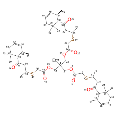 CCC(COC(=O)CSC(C)CC(=O)C1C(C)C=CCC1(C)C)(COC(=O)CSC(C)CC(=O)[C@H]1[C@H](C)C=CCC1(C)C)COC(=O)CSC(C)CC(=O)[C@H]1[C@H](C)C=CCC1(C)C